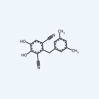 Cc1cc(C)cc(Cc2c(C#N)cc(O)c(O)c2C#N)c1